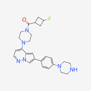 O=C(C1CC(F)C1)N1CCN(c2ccnn3cc(-c4ccc(N5CCNCC5)cc4)cc23)CC1